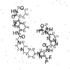 O=C(CN1CCN(CC2CCC(n3cc(NC(=O)c4cnn5ccc(N6C[C@H]7C[C@@H]6CO7)nc45)c(C(F)F)n3)CC2)CC1)Nc1cccc2c(C3CCCOCNC3=O)nsc12